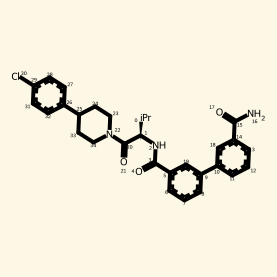 CC(C)[C@@H](NC(=O)c1cccc(-c2cccc(C(N)=O)c2)c1)C(=O)N1CCC(c2ccc(Cl)cc2)CC1